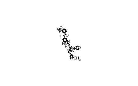 Cn1cc(-n2cnc3c(NCc4nc5cc(NC(=O)c6cccc(S(=O)(=O)F)c6)ccc5[nH]4)nc(N4CCOCC4)nc32)cn1